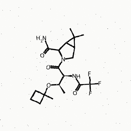 C[C@@H](OC1(C)CCC1)[C@H](NC(=O)C(F)(F)F)C(=O)N1CC2C(C1C(N)=O)C2(C)C